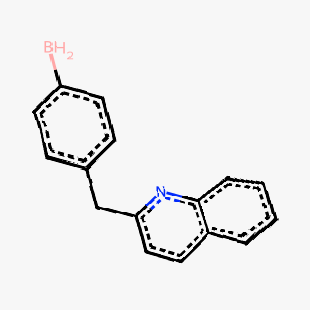 Bc1ccc(Cc2ccc3ccccc3n2)cc1